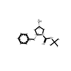 CC(C)(C)OC(=O)N1C[C@@H](O)C[C@H]1Cc1ccccc1